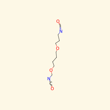 O=C=NCCCOCCCCOCN=C=O